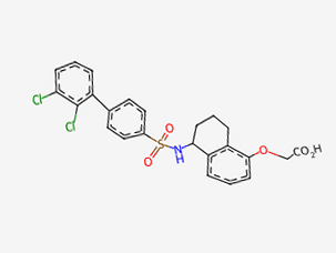 O=C(O)COc1cccc2c1CCCC2NS(=O)(=O)c1ccc(-c2cccc(Cl)c2Cl)cc1